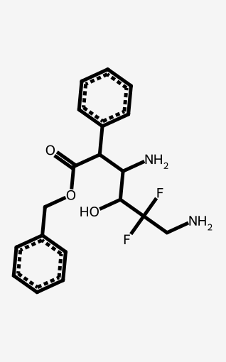 NCC(F)(F)C(O)C(N)C(C(=O)OCc1ccccc1)c1ccccc1